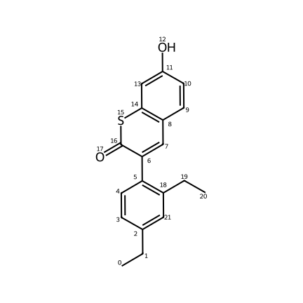 CCc1ccc(-c2cc3ccc(O)cc3sc2=O)c(CC)c1